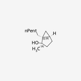 CCCCCC[C@]12C[C@H]1CC[C@@]2(C)O